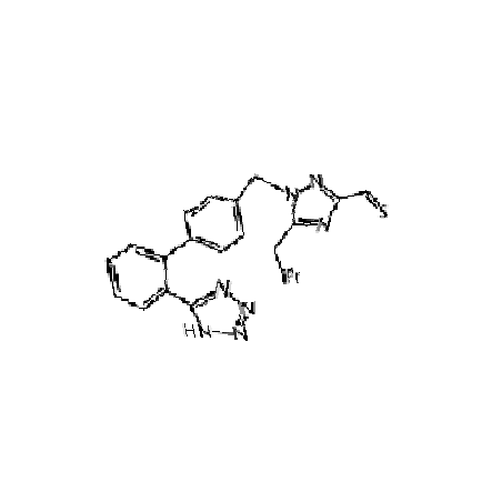 CC(C)Cc1nc(C=S)nn1Cc1ccc(-c2ccccc2-c2nnn[nH]2)cc1